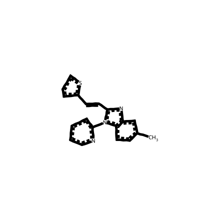 Cc1ccc2c(c1)nc(/C=C/c1cccs1)n2-c1ccccn1